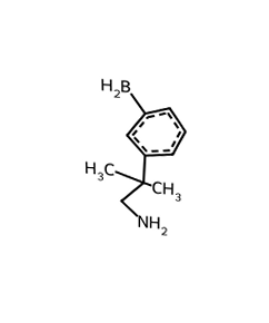 Bc1cccc(C(C)(C)CN)c1